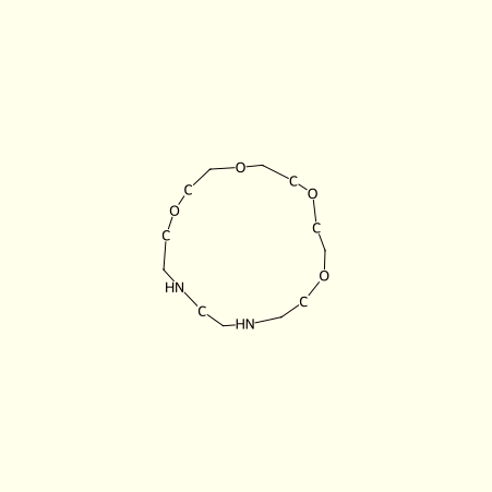 C1CNCCOCCOCCOCCOCCN1